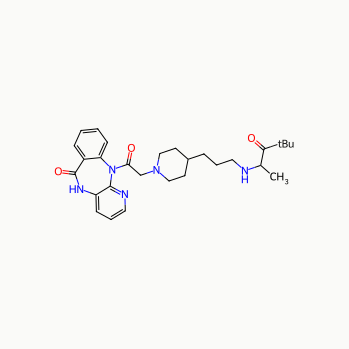 CC(NCCCC1CCN(CC(=O)N2c3ccccc3C(=O)Nc3cccnc32)CC1)C(=O)C(C)(C)C